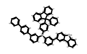 c1ccc(-c2ccc(-c3cccc(N(c4ccc(C5(c6ccccc6)c6ccccc6-c6ccccc65)cc4)c4cccc(-c5ccc6oc7ccccc7c6c5)c4)c3)cc2)cc1